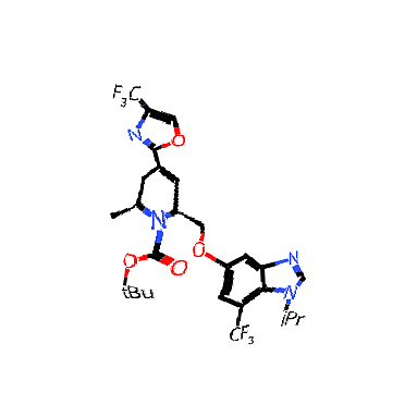 CC(C)n1cnc2cc(OC[C@@H]3C=C(c4nc(C(F)(F)F)co4)C[C@H](C)N3C(=O)OC(C)(C)C)cc(C(F)(F)F)c21